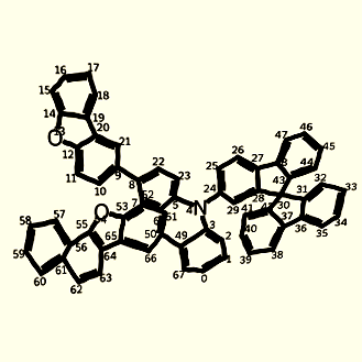 c1ccc(N(c2ccc(-c3ccc4oc5ccccc5c4c3)cc2)c2ccc3c(c2)C2(c4ccccc4-c4ccccc42)c2ccccc2-3)c(-c2ccc3oc4c5ccccc5ccc4c3c2)c1